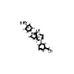 N#CCc1cccc(N2CCC[C@@]3(CCN([C@H]4CC[C@H](O)CC4)C3=O)C2)c1